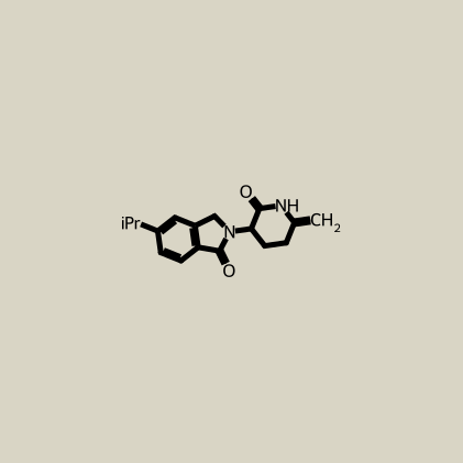 C=C1CCC(N2Cc3cc(C(C)C)ccc3C2=O)C(=O)N1